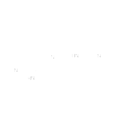 CCN(CC)CCNCC1CCN(C2=CC=C(C#N)C(=N)C23C=CC3)CC1